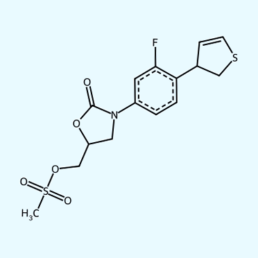 CS(=O)(=O)OCC1CN(c2ccc(C3C=CSC3)c(F)c2)C(=O)O1